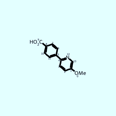 COc1ccc(-c2ccc(C(=O)O)cc2)nc1